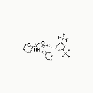 FC(F)(F)c1cc(CO[C@@H]2OC[C@H](c3ccccc3)N[C@@H]2c2ccccc2)cc(C(F)(F)F)c1